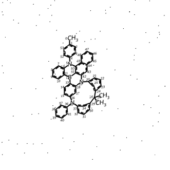 Cc1ccc(N2c3ccccc3B3c4ccc5cc4N(c4cccc(c4)C(C)(C)c4cccc(c4)N5c4ccccc4)c4cc5ccccc5c2c43)cc1